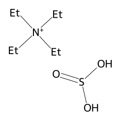 CC[N+](CC)(CC)CC.O=S(O)O